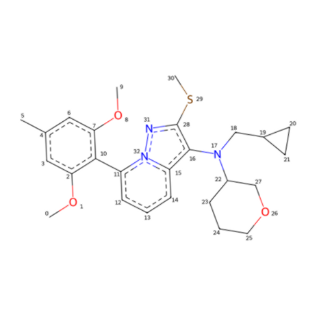 COc1cc(C)cc(OC)c1-c1cccc2c(N(CC3CC3)C3CCCOC3)c(SC)nn12